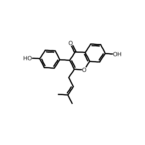 CC(C)=CCc1oc2cc(O)ccc2c(=O)c1-c1ccc(O)cc1